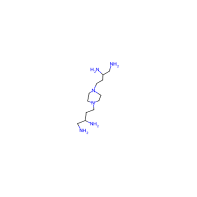 NCC(N)CCN1CCN(CCC(N)CN)CC1